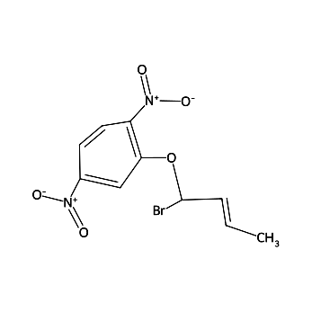 CC=CC(Br)Oc1cc([N+](=O)[O-])ccc1[N+](=O)[O-]